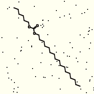 CCCCCCCCCCCCCCCCCOC(=O)OCCCCCC